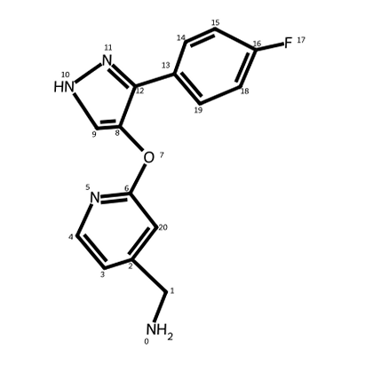 NCc1ccnc(Oc2c[nH]nc2-c2ccc(F)cc2)c1